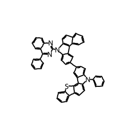 c1ccc(-c2nc(-n3c4ccc(-c5ccc6c(c5)c5c7sc8ccccc8c7ccc5n6-c5ccccc5)cc4c4c5ccccc5ccc43)nc3ccccc23)cc1